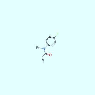 C=CC(=O)N(CC)c1ccc(F)cc1